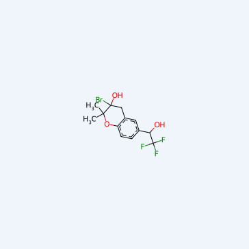 CC1(C)Oc2ccc(C(O)C(F)(F)F)cc2CC1(O)Br